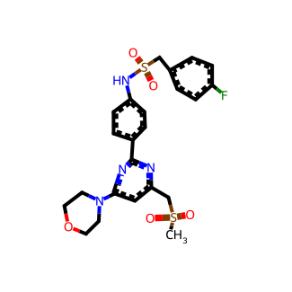 CS(=O)(=O)Cc1cc(N2CCOCC2)nc(-c2ccc(NS(=O)(=O)Cc3ccc(F)cc3)cc2)n1